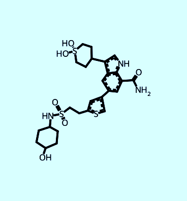 NC(=O)c1cc(-c2csc(CCS(=O)(=O)NC3CCC(O)CC3)c2)cc2c(C3CCS(O)(O)CC3)c[nH]c12